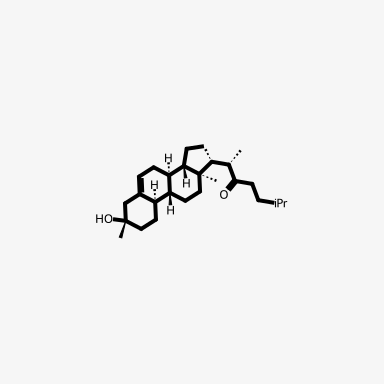 CC(C)CCC(=O)[C@@H](C)[C@H]1CC[C@H]2[C@@H]3CC=C4C[C@@](C)(O)CC[C@@H]4[C@H]3CC[C@]12C